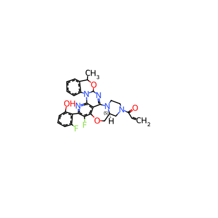 C=CC(=O)N1CCN2C3=NC4OC(C)c5ccccc5N4c4nc(-c5c(O)cccc5F)c(F)c(c43)OC[C@@H]2C1